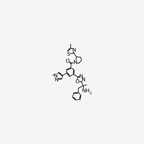 Cc1csc(C2CCCN2C(=O)c2cc(-c3cnn(C)c3)cc(-c3nnc(C(C)(N)Cc4ccccc4)o3)c2)n1